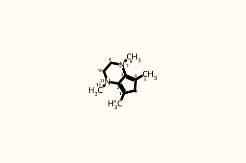 CC1=C2C(=C(C)C1)N(C)CCN2C